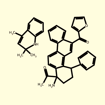 CC(=O)C1(N)CCC(c2ccccc2)c2c1ccc1c2cc(C(=O)c2ccco2)c2ccccc21.CC1=CC(C)(C)Nc2ccccc21